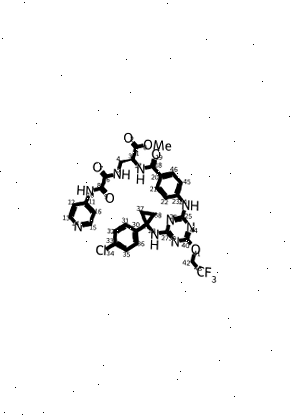 COC(=O)[C@H](CNC(=O)C(=O)Nc1ccncc1)NC(=O)c1ccc(Nc2nc(NC3(c4ccc(Cl)cc4)CC3)nc(OCC(F)(F)F)n2)cc1